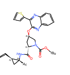 C=C[C@@H]1C[C@]1(NC(=O)[C@@H]1C[C@@H](Oc2nc3ccccc3nc2-c2cccs2)CN1C(=O)OC(C)(C)C)C(C)=O